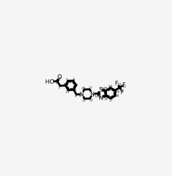 O=C(O)Cc1cccc(CN2CCN(c3nc4ccc(C(F)(F)F)cc4s3)CC2)c1